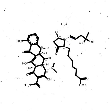 CCCCC(C)(O)C/C=C/[C@H]1[C@H](O)CC(=O)[C@@H]1CCCCCCC(=O)OC.C[C@H]1c2cccc(O)c2C(=O)C2=C(O)[C@]3(O)C(=O)C(C(N)=O)=C(O)[C@@H](N(C)C)[C@@H]3[C@@H](O)[C@@H]21.O